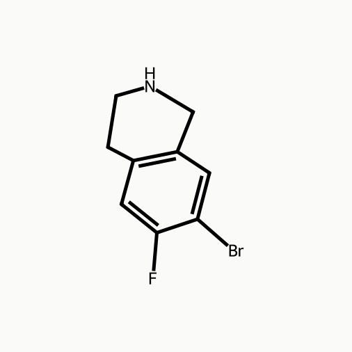 Fc1cc2c(cc1Br)CNCC2